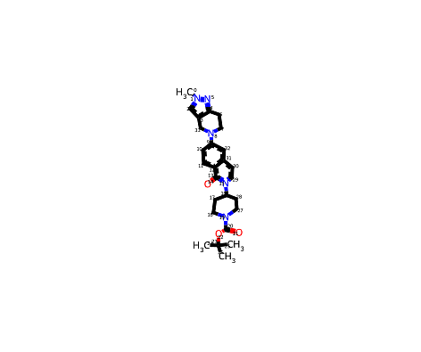 Cn1cc2c(n1)CCN(c1ccc3c(=O)n(C4CCN(C(=O)OC(C)(C)C)CC4)ccc3c1)C2